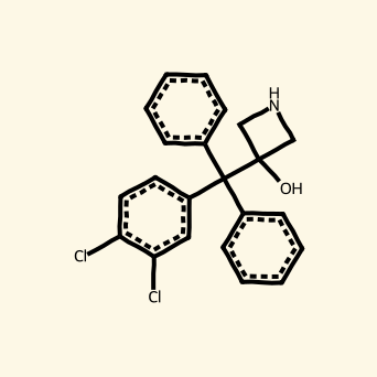 OC1(C(c2ccccc2)(c2ccccc2)c2ccc(Cl)c(Cl)c2)CNC1